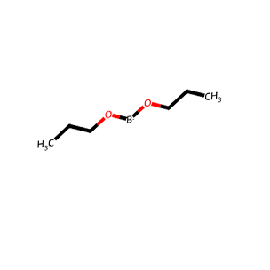 CCCO[B]OCCC